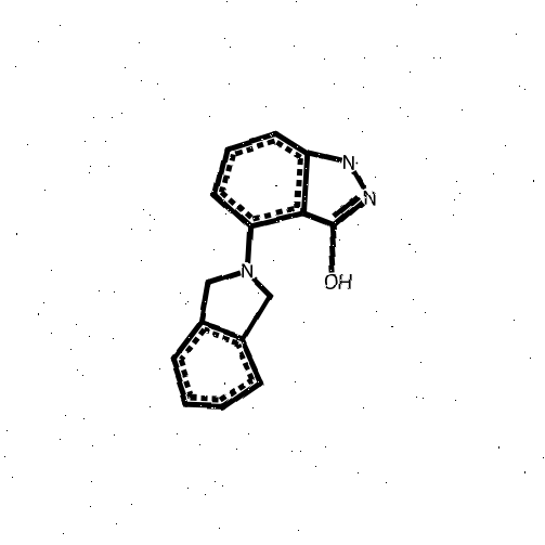 OC1=N[N]c2cccc(N3Cc4ccccc4C3)c21